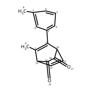 CC1=C(c2cccc(C)c2)C2C=CC1C(=O)C2=O